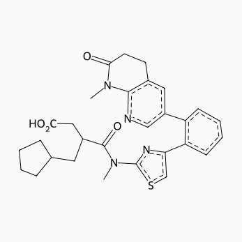 CN(C(=O)C(CC(=O)O)CC1CCCC1)c1nc(-c2ccccc2-c2cnc3c(c2)CCC(=O)N3C)cs1